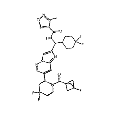 Cc1nonc1C(=O)NC(c1cn2ncc(C3CC(F)(F)CCN3C(=O)C34CC(F)(C3)C4)cc2n1)C1CCC(F)(F)CC1